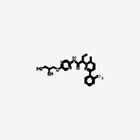 C=C1C=CC(c2ccccc2C(F)(F)F)=NN1/C(=C\C)C(=O)Nc1cnc(OCC(O)CO)cn1